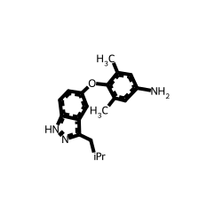 Cc1cc(N)cc(C)c1Oc1ccc2[nH]nc(CC(C)C)c2c1